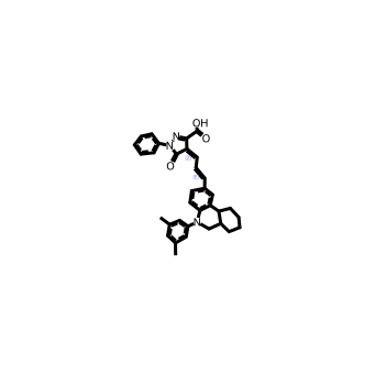 Cc1cc(C)cc(N2CC3CCCCC3c3cc(/C=C/C=C4\C(=O)N(c5ccccc5)N=C4C(=O)O)ccc32)c1